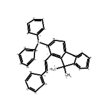 CC1(C)c2ccccc2-c2ccc(N(c3ccccc3)c3ccccc3)c(C=Cc3ccccc3)c21